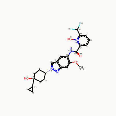 COc1cc2nn([C@H]3CC[C@@](O)(C4CC4)CC3)cc2cc1NC(=O)c1cccc(C(F)F)[n+]1O